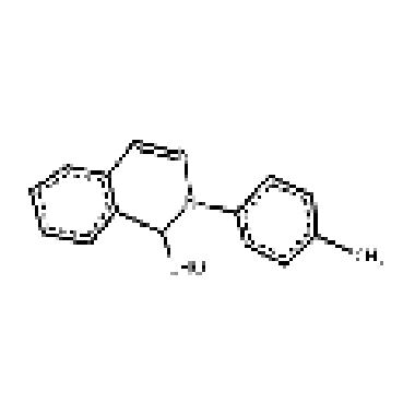 Cc1ccc(N2N=Cc3ccccc3C2C=O)cc1